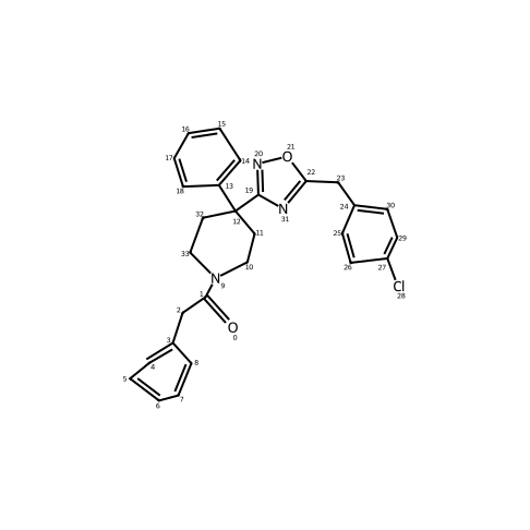 O=C(Cc1ccccc1)N1CCC(c2ccccc2)(c2noc(Cc3ccc(Cl)cc3)n2)CC1